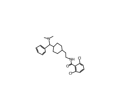 CN(C)C(c1ccccc1)C1CCC(CCNC(=O)c2c(Cl)cccc2Cl)CC1